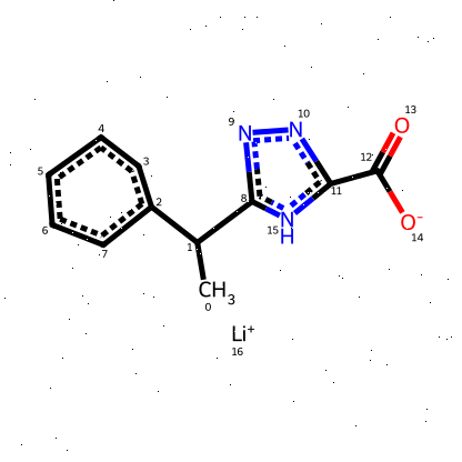 CC(c1ccccc1)c1nnc(C(=O)[O-])[nH]1.[Li+]